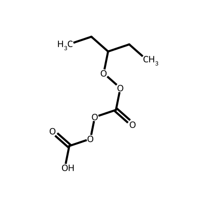 CCC(CC)OOC(=O)OOC(=O)O